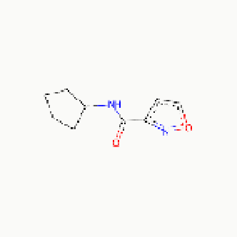 O=C(NC1CCCC1)c1ccon1